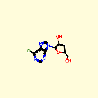 OC[C@@H]1C[C@@H](O)[C@H](n2cnc3c(Cl)ncnc32)O1